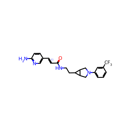 Nc1ccc(/C=C/C(=O)NCCC2C3CN(c4cccc(C(F)(F)F)c4)CC23)cn1